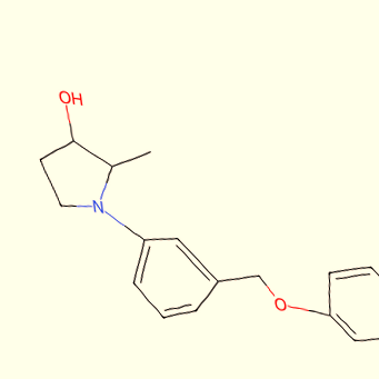 CC1C(O)CCN1c1cccc(COc2ccccc2)c1